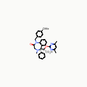 COc1ccc(CN2C(=O)CN(C)[C@](c3ccccc3)([C@H](Oc3nc(C)cc(C)n3)C(=O)O)c3ccccc32)cc1